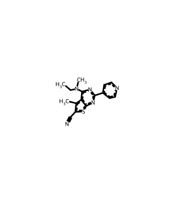 CCN(C)c1nc(-c2ccncc2)nc2sc(C#N)c(C)c12